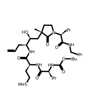 C=CC[C@H](NC(=O)[C@H](CCSC)NC(=O)[C@@H](NC(=O)OC(C)(C)C)C(C)C)[C@@H](O)C[C@]1(C)CCN([C@H](C(=O)NCC(C)C)C(C)C)C1=O